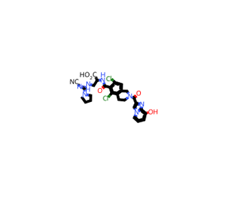 N#C/N=C(\NCC(NC(=O)c1c(Cl)cc2c(c1Cl)CCN(C(=O)c1cn3cccc(O)c3n1)C2)C(=O)O)N1CCCC1